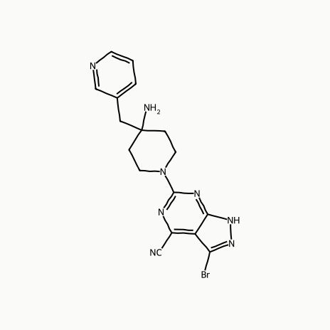 N#Cc1nc(N2CCC(N)(Cc3cccnc3)CC2)nc2[nH]nc(Br)c12